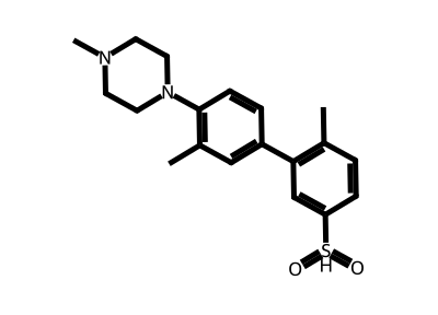 Cc1ccc([SH](=O)=O)cc1-c1ccc(N2CCN(C)CC2)c(C)c1